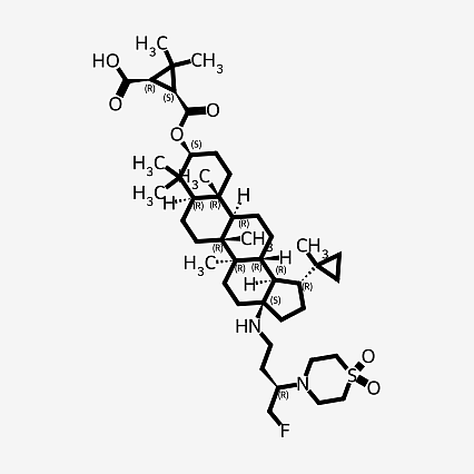 CC1([C@@H]2CC[C@]3(NCC[C@H](CF)N4CCS(=O)(=O)CC4)CC[C@]4(C)[C@H](CC[C@@H]5[C@@]6(C)CC[C@H](OC(=O)[C@H]7[C@@H](C(=O)O)C7(C)C)C(C)(C)[C@@H]6CC[C@]54C)[C@@H]23)CC1